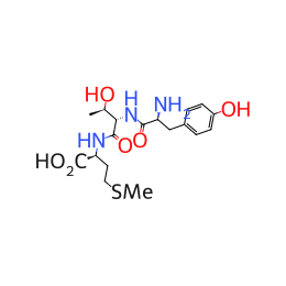 CSCC[C@H](NC(=O)[C@@H](NC(=O)[C@@H](N)Cc1ccc(O)cc1)[C@@H](C)O)C(=O)O